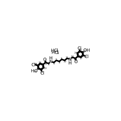 Cl.Cl.O=C(CNCCCCCCNCC(=O)c1cc(Cl)c(O)c(Cl)c1)c1cc(Cl)c(O)c(Cl)c1